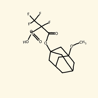 COC12CC3CC(C1)CC(OC(=O)C(F)(C(F)(F)F)S(=O)(=O)O)(C3)C2